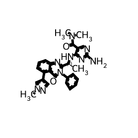 C[C@@H](Nc1nc(N)ncc1C(=O)N(C)C)c1nc2cccc(-c3cnn(C)c3)c2c(=O)n1-c1ccccc1